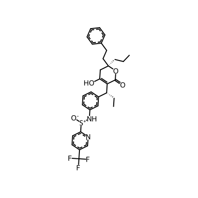 CCC[C@@]1(CCc2ccccc2)CC(O)=C([C@H](CC)c2cccc(N[S+]([O-])c3ccc(C(F)(F)F)cn3)c2)C(=O)O1